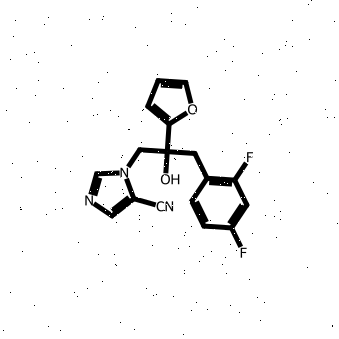 N#Cc1cncn1CC(O)(Cc1ccc(F)cc1F)c1ccco1